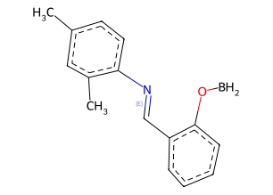 BOc1ccccc1/C=N/c1ccc(C)cc1C